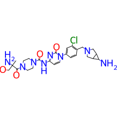 CC(N)(CO)C(=O)N1CCN(C(=O)Nc2ccn(-c3ccc(CN4CC5C(N)C5C4)c(Cl)c3)c(=O)n2)CC1